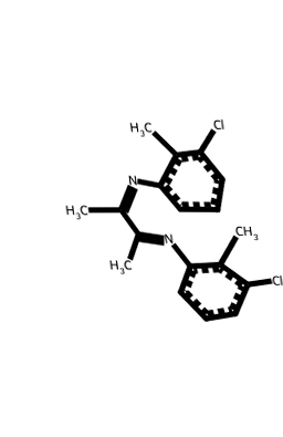 CC(=Nc1cccc(Cl)c1C)C(C)=Nc1cccc(Cl)c1C